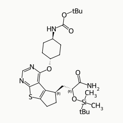 CC(C)(C)OC(=O)N[C@H]1CC[C@H](Oc2ncnc3sc4c(c23)[C@@H](C[C@@H](O[Si](C)(C)C(C)(C)C)C(N)=O)CC4)CC1